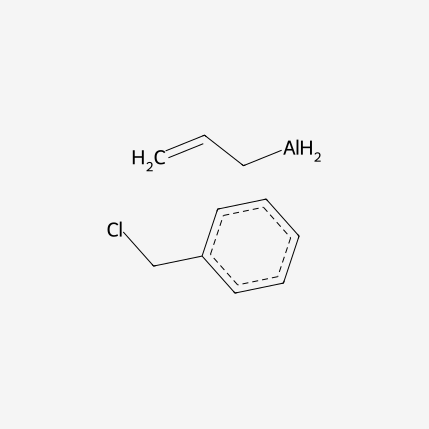 C=C[CH2][AlH2].ClCc1ccccc1